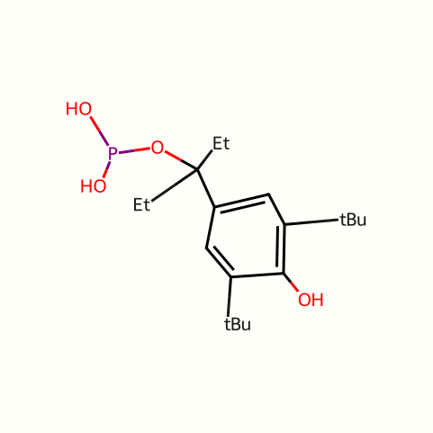 CCC(CC)(OP(O)O)c1cc(C(C)(C)C)c(O)c(C(C)(C)C)c1